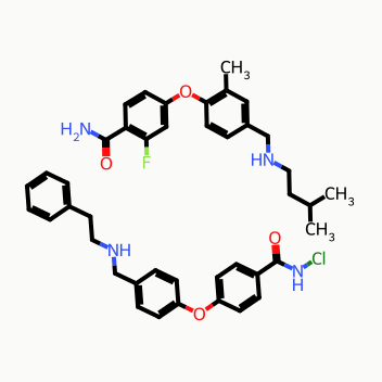 Cc1cc(CNCCC(C)C)ccc1Oc1ccc(C(N)=O)c(F)c1.O=C(NCl)c1ccc(Oc2ccc(CNCCc3ccccc3)cc2)cc1